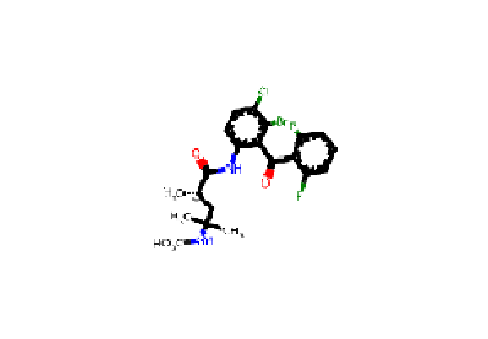 C[C@@H](CC(C)(C)NC(=O)O)C(=O)Nc1ccc(Cl)c(Br)c1C(=O)c1c(F)cccc1F